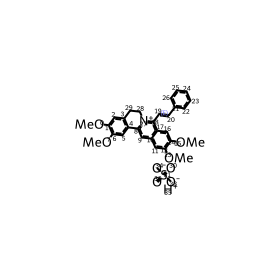 COc1cc2c(cc1OC)-c1cc3cc(OC)c(OC)cc3c(/C=C/c3ccccc3)[n+]1CC2.O=S(=O)([O-])[O-].[H+]